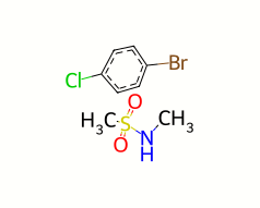 CNS(C)(=O)=O.Clc1ccc(Br)cc1